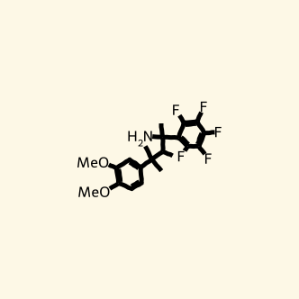 COc1ccc(C(C)(C)C(C)C(C)(N)c2c(F)c(F)c(F)c(F)c2F)cc1OC